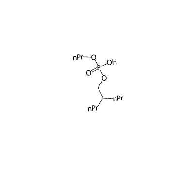 CCCOP(=O)(O)OCC(CCC)CCC